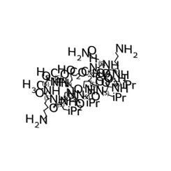 CC(C)C[C@H](NC(=O)[C@@H]1CCCN1C(=O)[C@@H](NC(=O)[C@@H]1CCCN1C(=O)[C@H](CCC(=O)O)NC(=O)[C@H](C)NC(=O)[C@H](C)NC(=O)[C@H](CCCCN)NC(=O)[C@@H](N)CC(C)C)C(C)C)C(=O)N[C@H](C(=O)N[C@@H](CCCCN)C(=O)N[C@@H](CCC(N)=O)C(=O)N[C@@H](CC(=O)O)C(=O)O)C(C)C